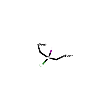 CCCCCC[Si](Cl)(I)CCCCCC